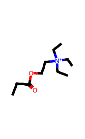 CCC(=O)OCC[N+](CC)(CC)CC